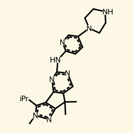 CC(C)c1c2c(nn1C)C(C)(C)c1cnc(Nc3ccc(N4CCNCC4)cn3)nc1-2